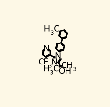 Cc1cccc(-c2ccc(-n3cc(C(C)(C)O)nc3-c3cnccc3C(F)(F)F)cc2)c1